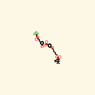 COc1cc(/C=C/C(=O)OCC(F)(F)F)ccc1OC(=O)c1ccc(OCCCCCCOC(=O)C(C)(CC(C)(C)C)C(C)(C)C(C)C)cc1